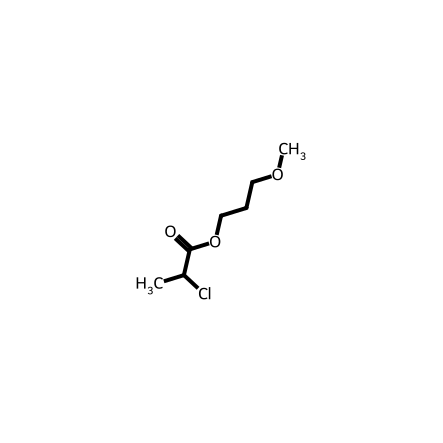 COCCCOC(=O)C(C)Cl